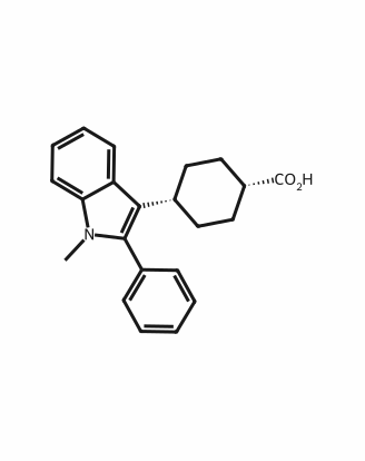 Cn1c(-c2ccccc2)c([C@H]2CC[C@@H](C(=O)O)CC2)c2ccccc21